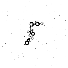 CC1(C(=O)NCc2cc(-c3ccc(C(F)(F)F)cn3)ccn2)CCCN1S(=O)(=O)c1cc2cc(F)ccc2o1